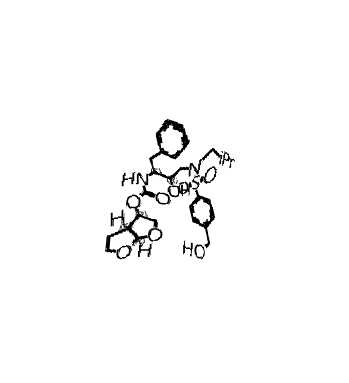 CC(C)CN(C[C@@H](O)[C@H](Cc1ccccc1)NC(=O)O[C@H]1CO[C@H]2OCC[C@H]21)S(=O)(=O)c1ccc(CO)cc1